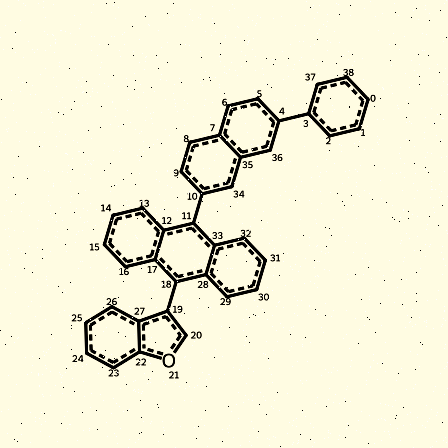 c1ccc(-c2ccc3ccc(-c4c5ccccc5c(-c5coc6ccccc56)c5ccccc45)cc3c2)cc1